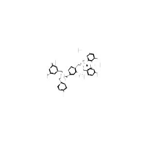 COc1cc(C(=O)N(Cc2ccc(F)cc2)Cc2cc(Cl)cc(Cl)c2)ccc1CN(Cc1ccc(F)cc1)S(=O)(=O)c1cc(C)cc(Cl)c1O